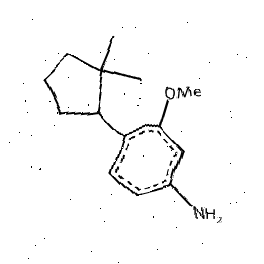 COc1cc(N)ccc1C1CCCC1(C)C